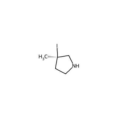 C[C@@]1(I)CCNC1